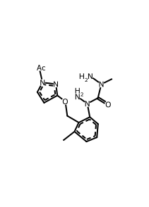 CC(=O)n1ccc(OCc2c(C)cccc2N(N)C(=O)N(C)N)n1